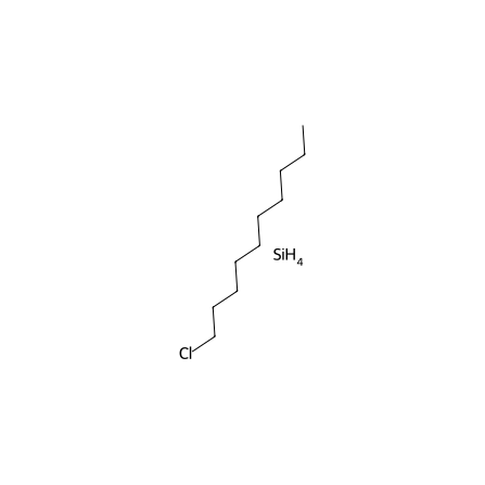 CCCCCCCCCCCl.[SiH4]